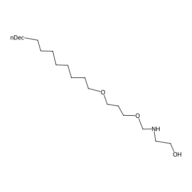 CCCCCCCCCCCCCCCCCCOCCCOCNCCO